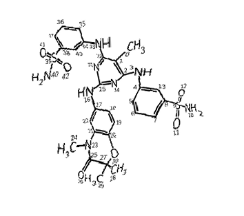 Cc1c(Nc2cccc(S(N)(=O)=O)c2)nc(Nc2ccc3c(c2)N(C)C(=O)C(C)(C)O3)nc1Nc1cccc(S(N)(=O)=O)c1